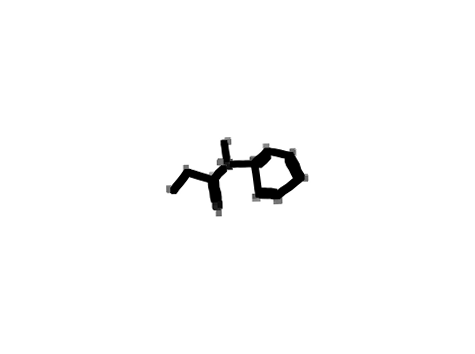 CCC(=O)N(C)c1ccccc1